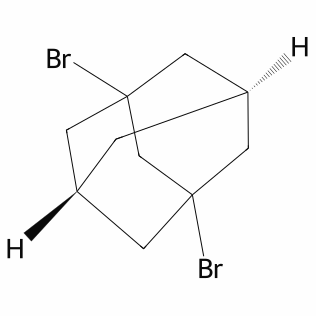 BrC12CC3(Br)C[C@H](C1)C[C@@H](C2)C3